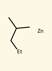 [CH2]CCC(C)C.[Zn]